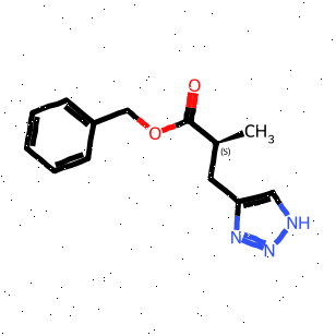 C[C@@H](Cc1c[nH]nn1)C(=O)OCc1ccccc1